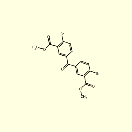 COC(=O)c1cc(C(=O)c2ccc(Br)c(C(=O)OC)c2)ccc1Br